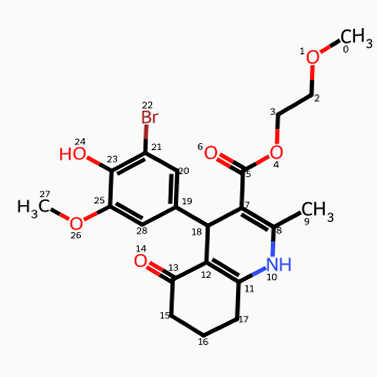 COCCOC(=O)C1=C(C)NC2=C(C(=O)CCC2)C1c1cc(Br)c(O)c(OC)c1